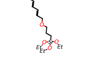 C/C=C/C=C/COCCC[Si](OCC)(OCC)OCC